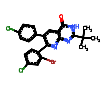 CC(C)(C)c1nc2nc(-c3ccc(Cl)cc3Br)c(-c3ccc(Cl)cc3)cc2c(=O)[nH]1